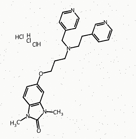 Cl.Cl.Cl.Cn1c(=O)n(C)c2cc(OCCCN(CCc3cccnc3)Cc3ccncc3)ccc21